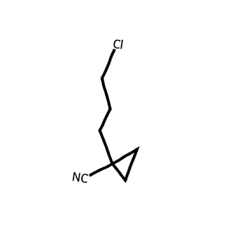 N#CC1(CCCCl)CC1